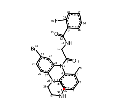 Cc1ccccc1N(C(=O)CNC(=O)c1ccccc1F)c1cc(Br)ccc1N1CCNCC1